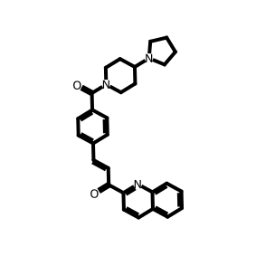 O=C(C=Cc1ccc(C(=O)N2CCC(N3CCCC3)CC2)cc1)c1ccc2ccccc2n1